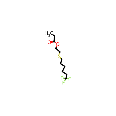 CCC(=O)OCCSCCCCCC(F)(F)F